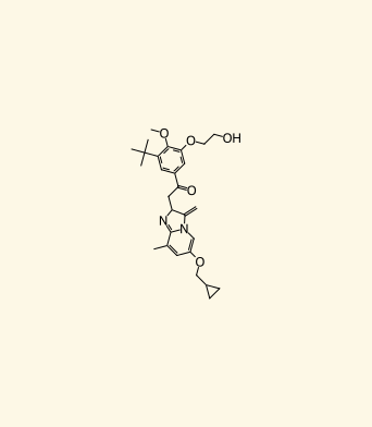 C=C1C(CC(=O)c2cc(OCCO)c(OC)c(C(C)(C)C)c2)N=C2C(C)=CC(OCC3CC3)=CN12